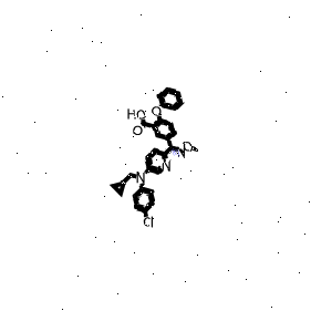 CO/N=C(\c1ccc(Oc2ccccc2)c(C(=O)O)c1)c1ccc(N(CC2CC2)c2ccc(Cl)cc2)cn1